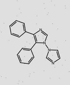 c1ccc(-c2ncn(-n3ccnc3)c2-c2ccccc2)cc1